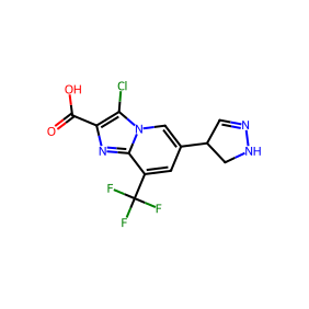 O=C(O)c1nc2c(C(F)(F)F)cc(C3C=NNC3)cn2c1Cl